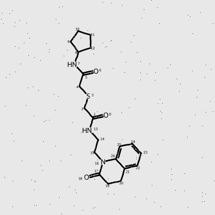 O=C(CSCC(=O)NC1CCCC1)NCCN1C(=O)CCc2ccccc21